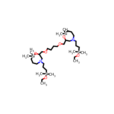 CCO[Si](C)(C)CCCN1CCC[Si](C)(C)OC(COCCCCOCC2CN(CCC[Si](C)(C)OCC)CCC[Si](C)(C)O2)C1